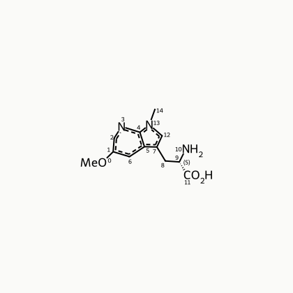 COc1cnc2c(c1)c(C[C@H](N)C(=O)O)cn2C